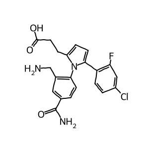 NCc1cc(C(N)=O)ccc1-n1c(CCC(=O)O)ccc1-c1ccc(Cl)cc1F